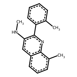 CNc1cc2cccc(C)c2nc1-c1ccccc1C